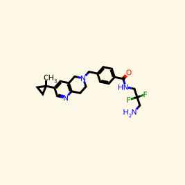 CC1(c2cnc3c(c2)CN(Cc2ccc(C(=O)NCC(F)(F)CN)cc2)CC3)CC1